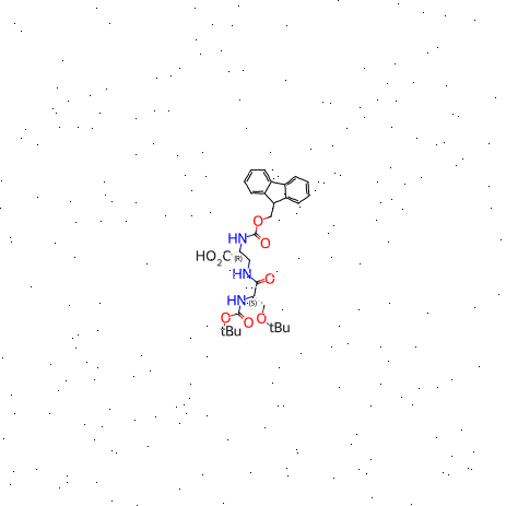 CC(C)(C)OC[C@H](NC(=O)OC(C)(C)C)C(=O)NC[C@@H](NC(=O)OCC1c2ccccc2-c2ccccc21)C(=O)O